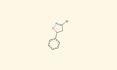 BrC1=NOC(c2ccccc2)C1